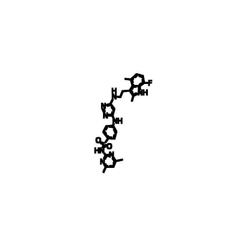 Cc1cc(C)nc(NS(=O)(=O)c2ccc(Nc3cc(NCCc4c(C)[nH]c5c(F)ccc(C)c45)ncn3)cc2)n1